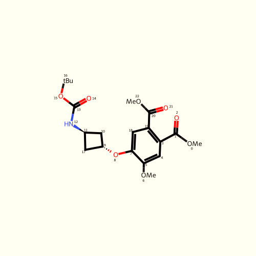 COC(=O)c1cc(OC)c(O[C@H]2C[C@H](NC(=O)OC(C)(C)C)C2)cc1C(=O)OC